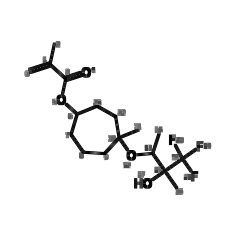 C=C(C)C(=O)OC1CCCC(C)(OC(C)C(C)(O)C(F)(F)F)CC1